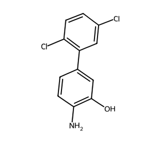 Nc1ccc(-c2cc(Cl)ccc2Cl)cc1O